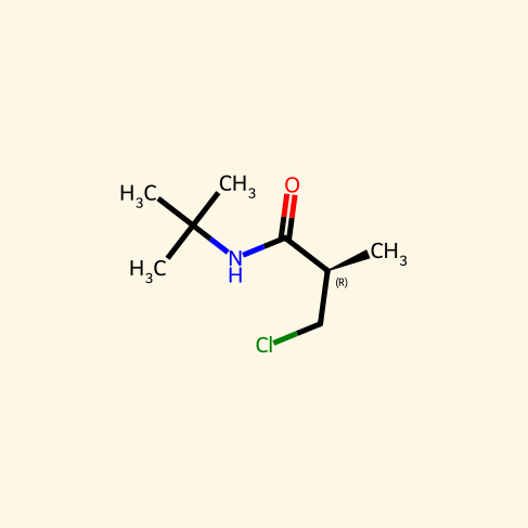 C[C@@H](CCl)C(=O)NC(C)(C)C